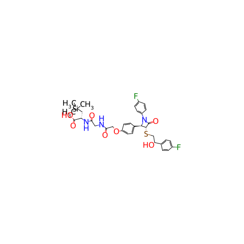 C[Si](C)(C)C[C@H](NC(=O)CNC(=O)COc1ccc([C@@H]2[C@@H](SCC(O)c3ccc(F)cc3)C(=O)N2c2ccc(F)cc2)cc1)C(=O)O